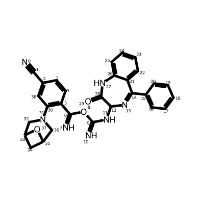 N#Cc1ccc(C(=N)OC(=N)NC2N=C(c3ccccc3)c3ccccc3NC2=O)c(N2CC3CC(C2)O3)c1